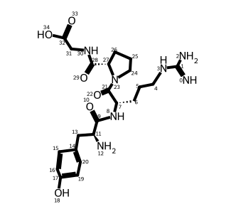 N=C(N)NCCC[C@H](NC(=O)[C@@H](N)Cc1ccc(O)cc1)C(=O)N1CCC[C@H]1C(=O)NCC(=O)O